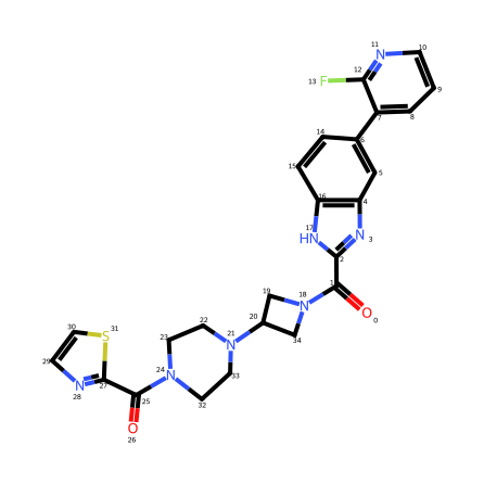 O=C(c1nc2cc(-c3cccnc3F)ccc2[nH]1)N1CC(N2CCN(C(=O)c3nccs3)CC2)C1